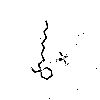 CCCCCCCCC[N+]1(CC)CCCCC1.CS(=O)(=O)[O-]